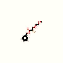 COCCOCC(Br)C(=O)OCc1ccccc1